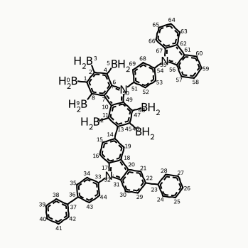 Bc1c(B)c(B)c2c(c1B)c1c(B)c(-c3ccc4c(c3)c3cc(-c5ccccc5)ccc3n4-c3ccc(-c4ccccc4)cc3)c(B)c(B)c1n2-c1ccc(-n2c3ccccc3c3ccccc32)cc1